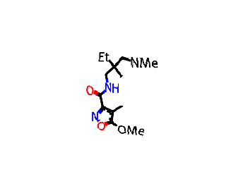 CCC(C)(CNC)CNC(=O)c1noc(OC)c1C